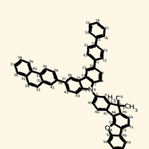 CC1(C)c2cc(-n3c4ccc(-c5ccc(-c6ccccc6)cc5)cc4c4cc(-c5ccc6c(ccc7ccccc76)c5)ccc43)ccc2-c2c1ccc1c2oc2ccccc21